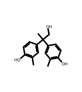 Cc1cc(C(C)(CO)c2ccc(O)c(C)c2)ccc1O